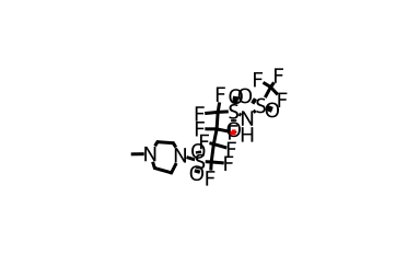 CN1CCN(S(=O)(=O)C(F)(F)C(F)(F)C(F)(F)C(F)(F)S(=O)(=O)NS(=O)(=O)C(F)(F)F)CC1